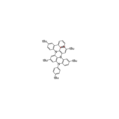 CC(C)(C)c1ccc(N2c3ccc(C(C)(C)C)cc3B3c4cc(C(C)(C)C)ccc4N(c4ccc(C(C)(C)C)cc4-c4cccnc4)c4cc(C(C)(C)C)cc2c43)cc1